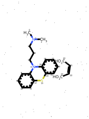 CN(C)CCCN1c2ccccc2Sc2ccccc21.O=C(O)/C=C\C(=O)O